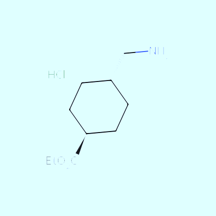 CCOC(=O)[C@H]1CC[C@H](CN)CC1.Cl